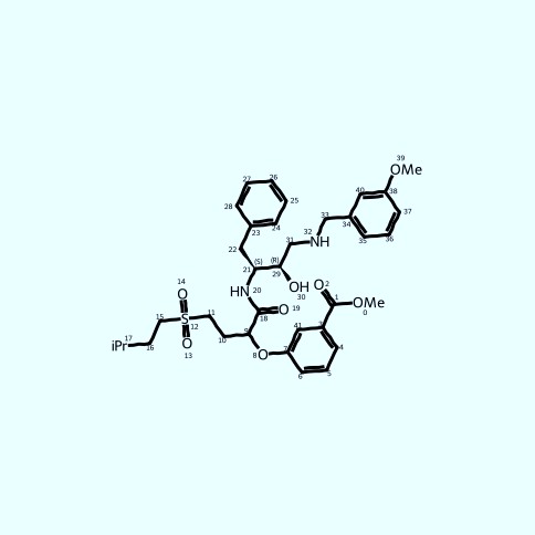 COC(=O)c1cccc(OC(CCS(=O)(=O)CCC(C)C)C(=O)N[C@@H](Cc2ccccc2)[C@H](O)CNCc2cccc(OC)c2)c1